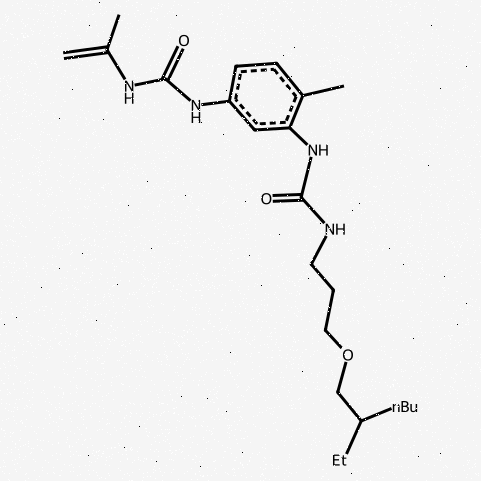 C=C(C)NC(=O)Nc1ccc(C)c(NC(=O)NCCCOCC(CC)CCCC)c1